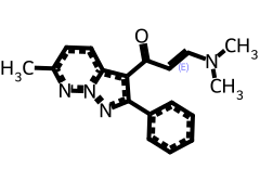 Cc1ccc2c(C(=O)/C=C/N(C)C)c(-c3ccccc3)nn2n1